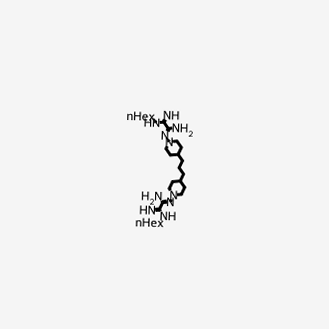 CCCCCCNC(=N)C(N)=NN1CCC(CCCC2CCN(N=C(N)C(=N)NCCCCCC)CC2)CC1